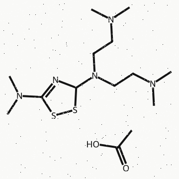 CC(=O)O.CN(C)CCN(CCN(C)C)C1N=C(N(C)C)SS1